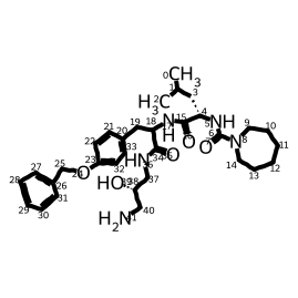 CC(C)C[C@H](NC(=O)N1CCCCCC1)C(=O)NC(Cc1ccc(OCc2ccccc2)cc1)C(=O)NC[C@@H](O)CN